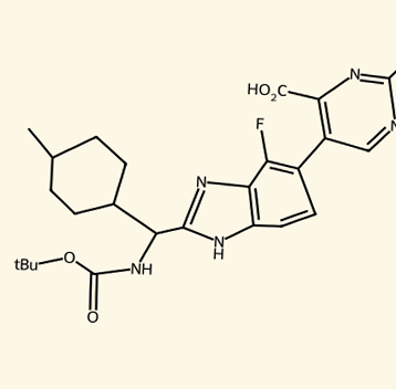 Cc1ncc(-c2ccc3[nH]c(C(NC(=O)OC(C)(C)C)C4CCC(C)CC4)nc3c2F)c(C(=O)O)n1